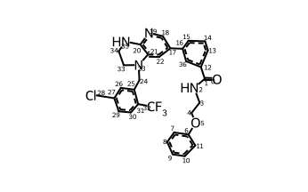 O=C(NCCOc1ccccc1)c1cccc(-c2cnc3c(c2)N(Cc2cc(Cl)ccc2C(F)(F)F)CCN3)c1